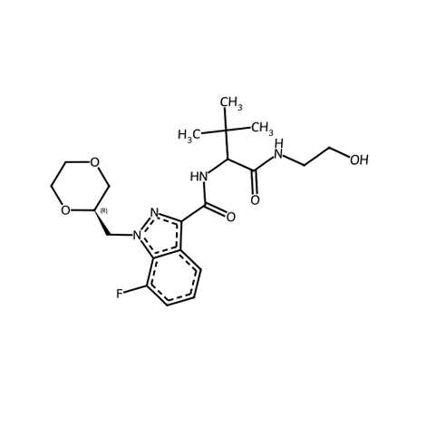 CC(C)(C)C(NC(=O)c1nn(C[C@@H]2COCCO2)c2c(F)cccc12)C(=O)NCCO